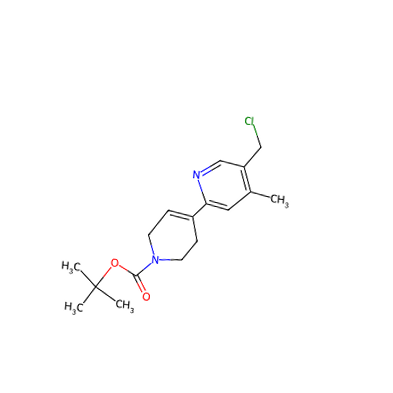 Cc1cc(C2=CCN(C(=O)OC(C)(C)C)CC2)ncc1CCl